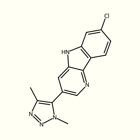 Cc1nnn(C)c1-c1cnc2c(c1)[nH]c1cc(Cl)ccc12